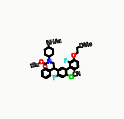 COCCOc1ccc(C#N)c(-c2cc(C(CN(C(=O)OC(C)(C)C)C3CCC(NC(C)=O)CC3)c3ccccc3)c(F)cc2Cl)c1F